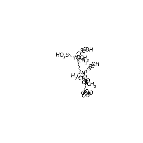 CN(CCCC(=O)ON1C(=O)CCC1=O)S(=O)(=O)c1ccc2c(c1)C(C)(C)C(/C=C/C=C/C=C/C=C1/N(CCCCS(=O)(=O)O)c3ccc(SOOO)cc3C1(C)C)=[N+]2CCCSOOO